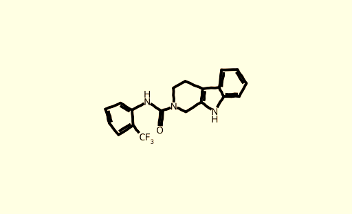 O=C(Nc1ccccc1C(F)(F)F)N1CCc2c([nH]c3ccccc23)C1